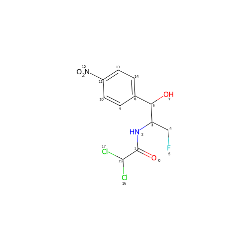 O=C(NC(CF)C(O)c1ccc([N+](=O)[O-])cc1)C(Cl)Cl